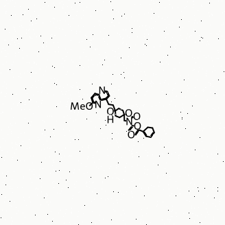 COc1ccc2nccc(CCC3(O)CCC4(CC3)CN(C3=COC=C(C5=CC=CCC5)O3)C(=O)O4)c2n1